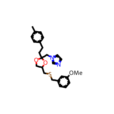 COc1cccc(CSCC2COC(CCc3ccc(C)cc3)(Cn3ccnc3)O2)c1